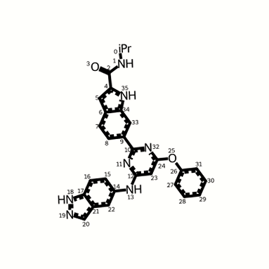 CC(C)NC(=O)c1cc2ccc(-c3nc(Nc4ccc5[nH]ncc5c4)cc(Oc4ccccc4)n3)cc2[nH]1